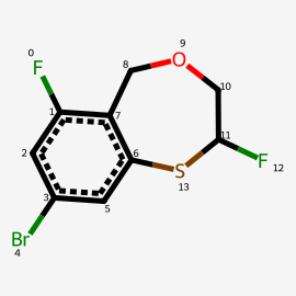 Fc1cc(Br)cc2c1COCC(F)S2